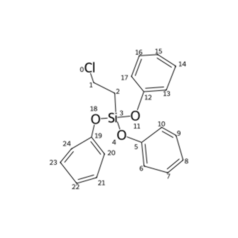 ClCC[Si](Oc1ccccc1)(Oc1ccccc1)Oc1ccccc1